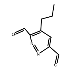 CCCc1cc(C=O)nnc1C=O